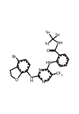 [2H]C([2H])([2H])NC(=O)c1ccccc1Nc1nc(Nc2ccc(Br)c3c2OCC3)ncc1C(F)(F)F